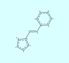 [C](=C\c1cccs1)/c1ccccc1